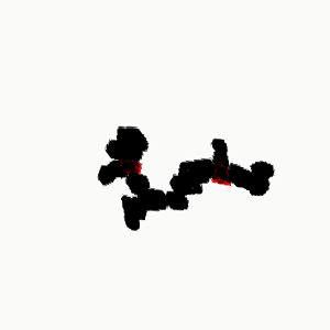 c1cc(-c2ccc(N(c3ccc(-c4ccc(-c5cccc6c5Oc5ccccc5S6)c5c4C4c6ccccc6C5c5ccccc54)cc3)c3ccc4c(c3)oc3ccccc34)cc2)cc(-c2ccc3c(c2)Sc2cc(-c4ccc(-c5ccc6c(c5)c5cccc7c8ccccc8n6c75)c5c4C4c6ccccc6C5c5ccccc54)ccc2S3)c1